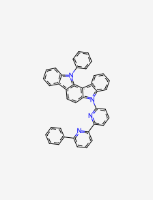 c1ccc(-c2cccc(-c3cccc(-n4c5ccccc5c5c4ccc4c6ccccc6n(-c6ccccc6)c45)n3)n2)cc1